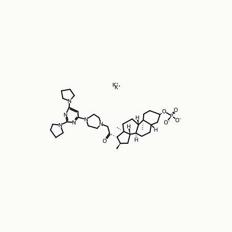 C[C@@H]1C[C@H]2[C@@H]3CC[C@H]4C[C@@H](OP(=O)([O-])[O-])CC[C@]4(C)[C@H]3CC[C@]2(C)[C@H]1C(=O)CN1CCN(c2cc(N3CCCC3)nc(N3CCCC3)n2)CC1.[K+].[K+]